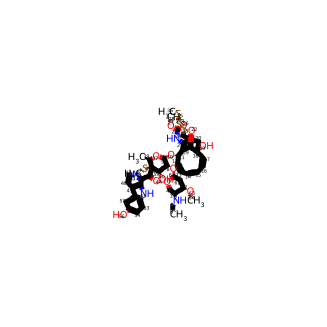 CCN[C@H]1CO[C@@H](O[C@H]2[C@H](O[C@H]3C#C/C=C\C#C[C@]4(O)CC(=O)C(NC(=O)OC)=C3/C4=C\CSSSC)O[C@H](C)[C@@](SC)(C(=O)c3nccc4c3[nH]c3ccc(O)cc34)[C@@H]2O)C[C@@H]1OC